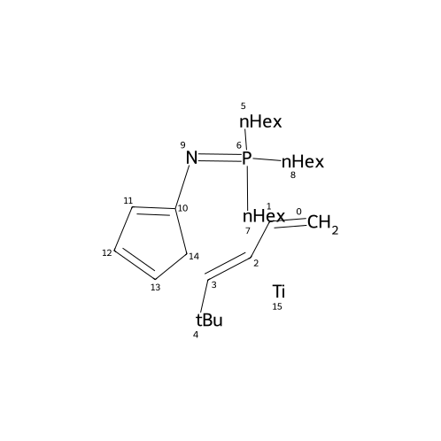 C=CC=CC(C)(C)C.CCCCCCP(CCCCCC)(CCCCCC)=NC1=CC=CC1.[Ti]